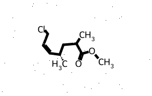 COC(=O)C(C)C[C@H](C)/C=C\CCl